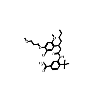 CCCCC(CC(=O)Nc1cc(C(N)=O)ccc1C(C)(C)C)c1cc(Cl)c(OCCCOC)cc1OC